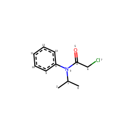 CC(C)N(C(=O)CCl)c1ccccc1